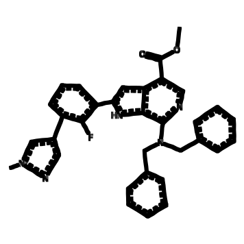 COC(=O)c1cnc(N(Cc2ccccc2)Cc2ccccc2)c2[nH]c(-c3cccc(-c4cnn(C)c4)c3F)cc12